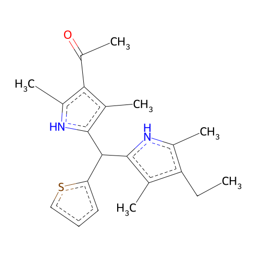 CCc1c(C)[nH]c(C(c2cccs2)c2[nH]c(C)c(C(C)=O)c2C)c1C